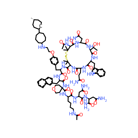 CC(=O)NCCCCC(NC(=O)C1(NC(=O)C(Cc2ccc3ccccc3c2)NC(=O)C(Cc2ccc(OCCNC3CCCC(C4CCC[C@@H](C)CC4)CCC3)cc2)NC(=O)C2NC(=O)C(CCC(N)=O)NC(=O)C(Cc3c[nH]c4ccccc34)NC(=O)C(C(C)O)NC(=O)C(CC(N)=O)NC(=O)C(NC(C)=O)C(C)(C)SSC2(C)C)CCOCC1)C(=O)NC(CC(N)=O)C(=O)NC(CC(N)=O)C(N)=O